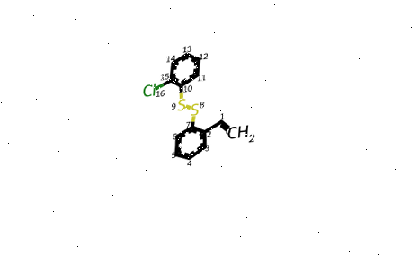 C=Cc1ccccc1SSc1ccccc1Cl